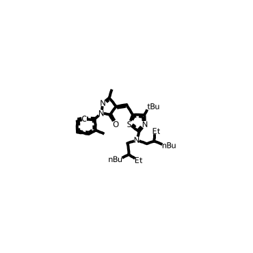 CCCCC(CC)CN(CC(CC)CCCC)c1nc(C(C)(C)C)c(/C=C2\C(=O)N(c3ccccc3C)N=C2C)s1